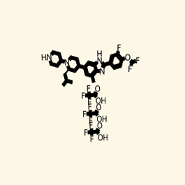 Cc1cc(C2CCN(C3CCNCC3)[C@H](CC(C)C)C2)cc2[nH]c(-c3ccc(OC(F)F)c(F)c3)nc12.O=C(O)C(F)(F)F.O=C(O)C(F)(F)F.O=C(O)C(F)(F)F